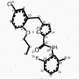 CCCOc1ccc(Cl)cc1Cc1ccc(C(=O)Nc2c(F)cccc2F)o1